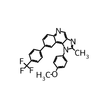 COc1ccc(-n2c(C)nc3cnc4ccc(-c5ccc(C(F)(F)F)cc5)cc4c32)cc1